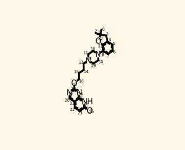 CC1(C)Cc2cccc(N3CCN(CCCCOc4ncc5ccc(=O)[nH]c5n4)CC3)c2O1